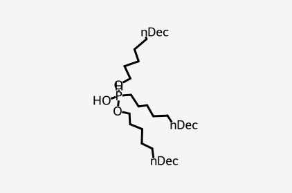 CCCCCCCCCCCCCCCO[PH](O)(CCCCCCCCCCCCCCC)OCCCCCCCCCCCCCCC